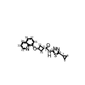 O=C(Nc1nnc(C2CC2)s1)[C@H]1C[C@H](Oc2cccc3cccnc23)C1